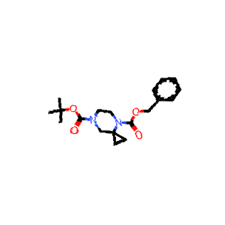 CC(C)(C)OC(=O)N1CCN(C(=O)OCc2ccccc2)C2(CC2)C1